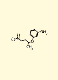 CCNCCC(C)Oc1cccc(N)c1